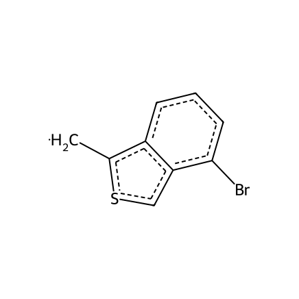 [CH2]c1scc2c(Br)cccc12